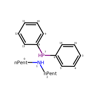 CCCCCNCCCCC.c1ccc(Pc2ccccc2)cc1